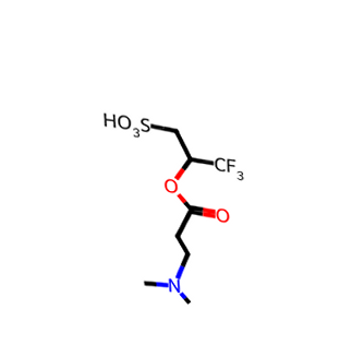 CN(C)CCC(=O)OC(CS(=O)(=O)O)C(F)(F)F